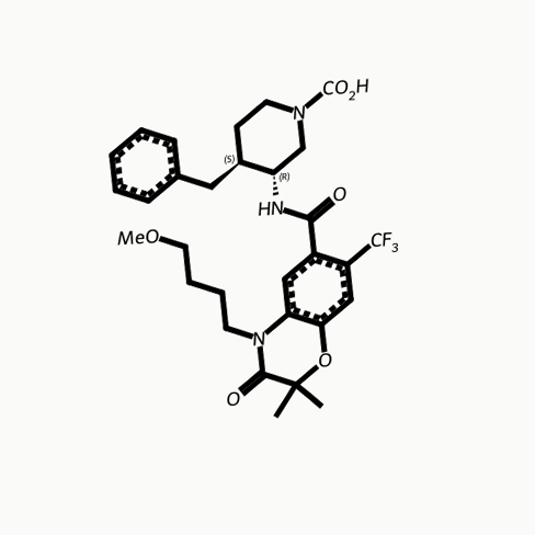 COCCCCN1C(=O)C(C)(C)Oc2cc(C(F)(F)F)c(C(=O)N[C@H]3CN(C(=O)O)CC[C@@H]3Cc3ccccc3)cc21